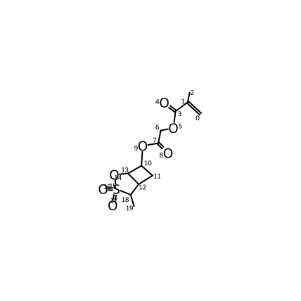 C=C(C)C(=O)OCC(=O)OC1CC2C1OS(=O)(=O)C2C